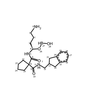 NCCC[C@H](NC(=O)C1(C(=O)NCC2Cc3ccccc3C2)CCCC1)OBO